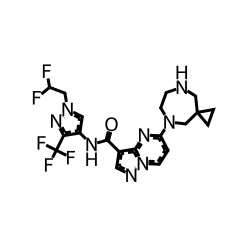 O=C(Nc1cn(CC(F)F)nc1C(F)(F)F)c1cnn2ccc(N3CCNCC4(CC4)C3)nc12